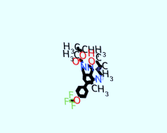 CC/C(C)=C/C=N\c1c(C)c(-c2ccc(OC(F)(F)F)cc2)cc(CNC(=O)OC(C)(C)C)c1CCO